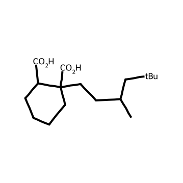 CC(CCC1(C(=O)O)CCCCC1C(=O)O)CC(C)(C)C